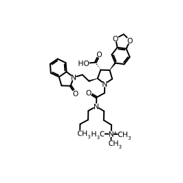 CCCCN(CCC[N+](C)(C)C)C(=O)CN1C[C@H](c2ccc3c(c2)OCO3)[C@@H](C(=O)O)[C@@H]1CCN1C(=O)Cc2ccccc21